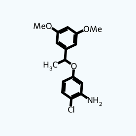 COc1cc(OC)cc(C(C)Oc2ccc(Cl)c(N)c2)c1